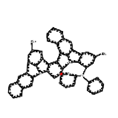 CC(C)(C)c1cc(N(c2ccccc2)c2ccccc2)c2c(c1)c1cc3ccccc3c3c4c5c6cc(C(C)(C)C)cc7c8cc9ccccc9cc8n(c5ccc4n2c13)c76